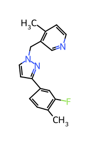 Cc1ccc(-c2ccn(Cc3cnccc3C)n2)cc1F